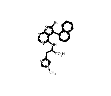 CCc1sc2ncnc(NC(Cc3cn(C)cn3)C(=O)O)c2c1-c1cccc2ccccc12